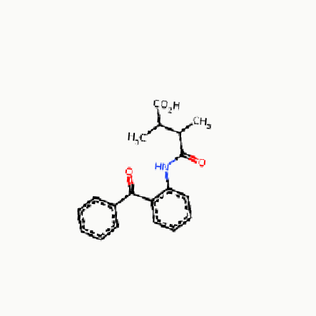 CC(C(=O)O)C(C)C(=O)Nc1ccccc1C(=O)c1ccccc1